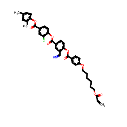 C=CC(=O)OCCCCCCOc1ccc(C(=O)Oc2ccc(C(=O)Oc3ccc(C(=O)Oc4ccc(C)cc4C)cc3Cl)cc2C=N)cc1